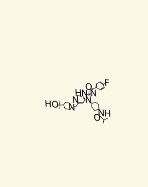 CC(C)C(=O)N[C@H]1CC[C@@H](n2/c(=N/C(=O)c3ccc(F)cc3)[nH]c3cnc(CN4CCC(C(C)(C)O)CC4)cc32)CC1